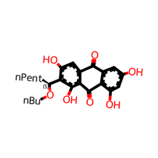 CCCCC[C@H](OCCCC)c1c(O)cc2c(c1O)C(=O)c1c(O)cc(O)cc1C2=O